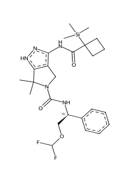 CC1(C)c2[nH]nc(NC(=O)C3([Si](C)(C)C)CCC3)c2CN1C(=O)N[C@H](COC(F)F)c1ccccc1